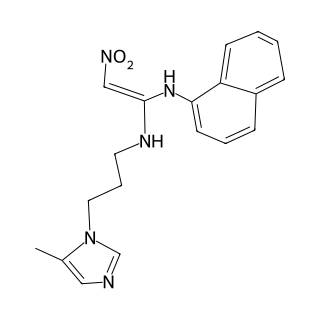 Cc1cncn1CCCN/C(=C/[N+](=O)[O-])Nc1cccc2ccccc12